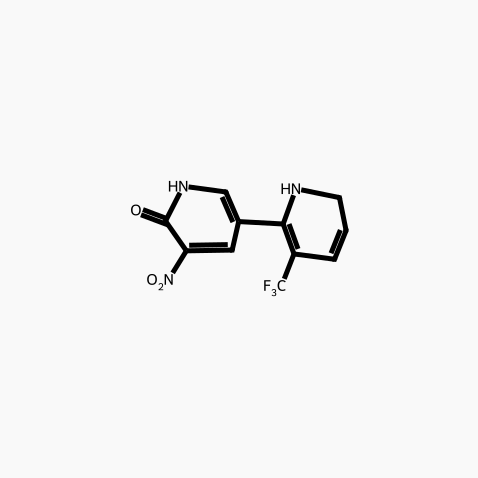 O=c1[nH]cc(C2=C(C(F)(F)F)C=CCN2)cc1[N+](=O)[O-]